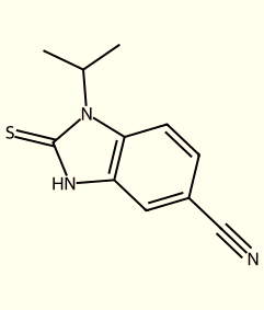 CC(C)n1c(=S)[nH]c2cc(C#N)ccc21